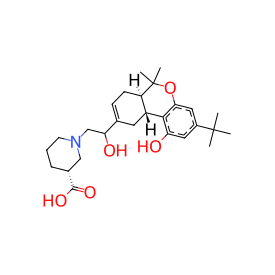 CC(C)(C)c1cc(O)c2c(c1)OC(C)(C)[C@@H]1CC=C(C(O)CN3CCC[C@@H](C(=O)O)C3)C[C@@H]21